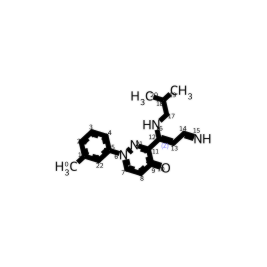 Cc1cccc(-n2ccc(=O)c(/C(=C/C=N)NCC(C)C)n2)c1